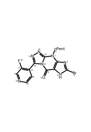 CCCCCn1c2nc(Br)[nH]c2c(=O)n2c(-c3ccncc3F)nnc12